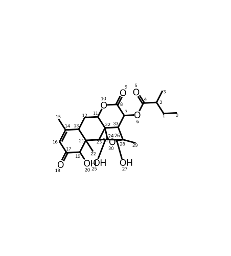 CCC(C)C(=O)OC1C(=O)OC2CC3C(C)=CC(=O)C(O)C3(C)C3C(O)C(O)C4(C)OCC23C14